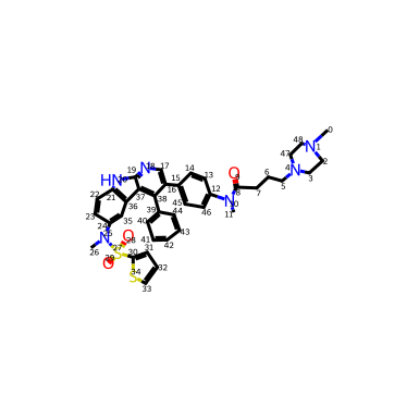 CN1CCN(CCCC(=O)N(C)c2ccc(-c3cnc4[nH]c5ccc(N(C)S(=O)(=O)c6cccs6)cc5c4c3-c3ccccc3)cc2)CC1